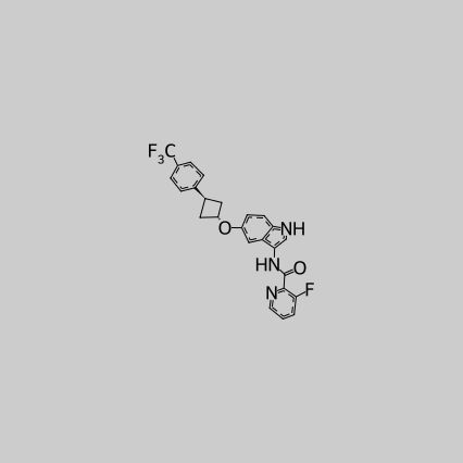 O=C(Nc1c[nH]c2ccc(O[C@H]3C[C@H](c4ccc(C(F)(F)F)cc4)C3)cc12)c1ncccc1F